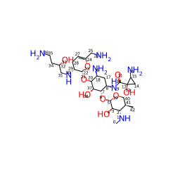 CN[C@@H]1[C@@H](O)[C@@H](O[C@H]2[C@H](NC(=O)C3(O)CC3N)C[C@H](N)C(O[C@H]3OC(CN)=CC[C@H]3NCC(O)CCN)[C@@H]2O)OC[C@H]1C